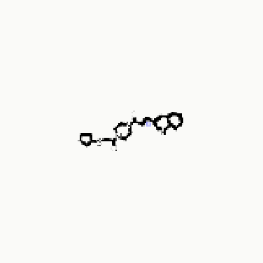 O=C(/C=C/c1cnc2ccccc2c1)N1CCN(C(=O)CSC2CCCC2)CC1